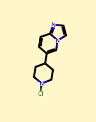 ClN1CCC(c2ccc3nccn3c2)CC1